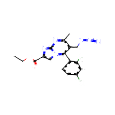 CCOC(=O)c1cn2c(-c3ccc(Cl)cc3Cl)c(CN=[N+]=[N-])c(C)nc2n1